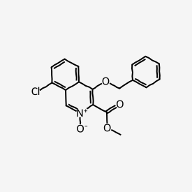 COC(=O)c1c(OCc2ccccc2)c2cccc(Cl)c2c[n+]1[O-]